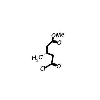 COC(=O)C[C@@H](C)CC(=O)Cl